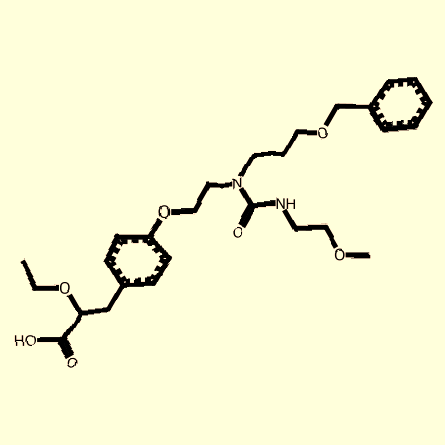 CCOC(Cc1ccc(OCCN(CCCOCc2ccccc2)C(=O)NCCOC)cc1)C(=O)O